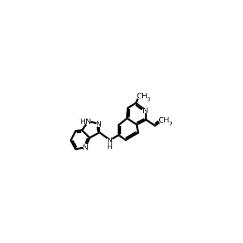 C=Cc1nc(C)cc2cc(Nc3n[nH]c4cccnc34)ccc12